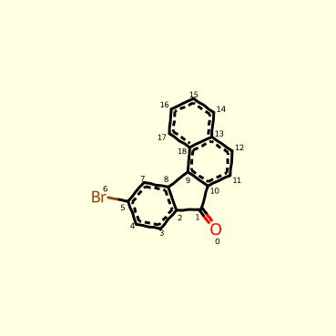 O=C1c2ccc(Br)cc2-c2c1ccc1ccccc21